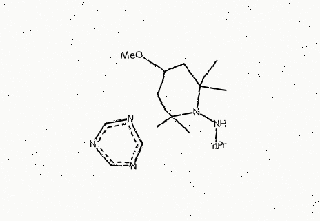 CCCNN1C(C)(C)CC(OC)CC1(C)C.c1ncncn1